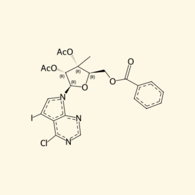 CC(=O)O[C@H]1[C@H](n2cc(I)c3c(Cl)ncnc32)O[C@H](COC(=O)c2ccccc2)[C@@]1(C)OC(C)=O